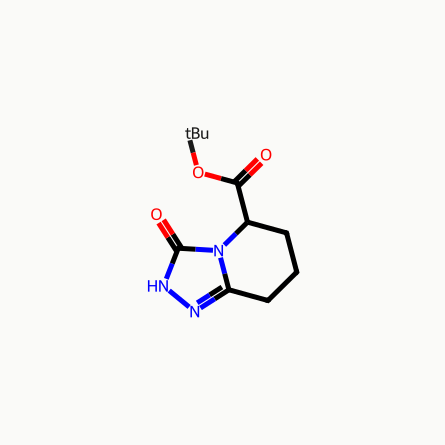 CC(C)(C)OC(=O)C1CCCc2n[nH]c(=O)n21